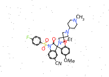 CCOc1ccc(OC)cc1C1(N2CC3(CN(C4CCN(C)CC4)C3)C2)C(=O)N(S(=O)(=O)c2ccc(F)cc2)c2ccc(C#N)cc21